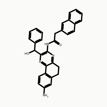 Nc1ccc2c(c1)CCc1nc(NC(=O)Cc3ccc4ccccc4c3)c(C(O)c3ccccc3)nc1-2